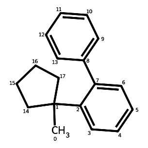 CC1(c2ccccc2-c2ccccc2)CCCC1